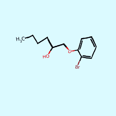 CCCCC(O)COc1ccccc1Br